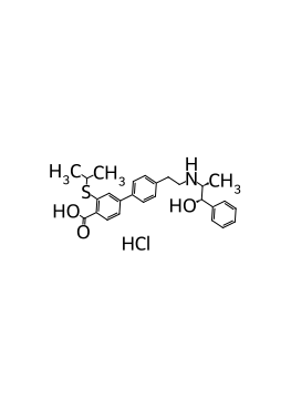 CC(C)Sc1cc(-c2ccc(CCN[C@@H](C)[C@H](O)c3ccccc3)cc2)ccc1C(=O)O.Cl